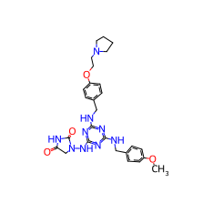 COc1ccc(CNc2nc(NCc3ccc(OCCN4CCCC4)cc3)nc(NN3CC(=O)NC3=O)n2)cc1